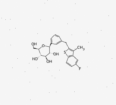 Cc1c(Cc2cccc([C@@H]3O[C@H](CO)[C@@H](O)[C@H](O)[C@H]3O)c2)sc2ccc(F)cc12